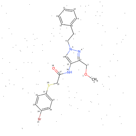 COCc1nn(CCc2ccccc2)cc1NC(=O)CSc1ccc(Br)cc1